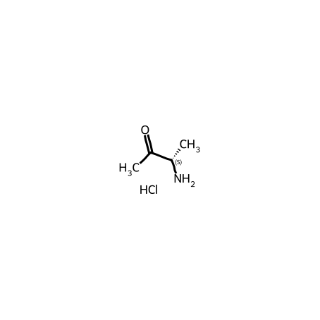 CC(=O)[C@H](C)N.Cl